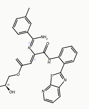 C=C(/C=C(\N=C(/N)c1cccc(C)c1)C(=O)Nc1ccccc1-c1nc2cccnc2s1)OC[C@@H](O)CO